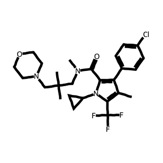 Cc1c(-c2ccc(Cl)cc2)c(C(=O)N(C)CC(C)(C)CN2CCOCC2)n(C2CC2)c1C(F)(F)F